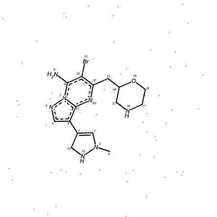 CN1C=C(c2cnn3c(N)c(Br)c(CC4CNCCO4)nc23)CN1